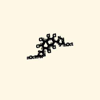 CCCCCCCCc1nnc(-c2c(Cl)c(Cl)c3c(Cl)c(Cl)c(-c4nnc(CCCCCCCC)s4)c(Cl)c3c2Cl)s1